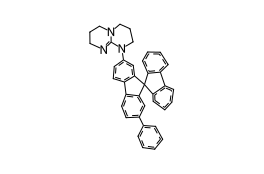 c1ccc(-c2ccc3c(c2)C2(c4ccccc4-c4ccccc42)c2cc(N4CCCN5CCCN=C54)ccc2-3)cc1